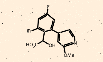 COc1cc(-c2cc(F)cc(C(C)C)c2C(O)C(=O)O)ccn1